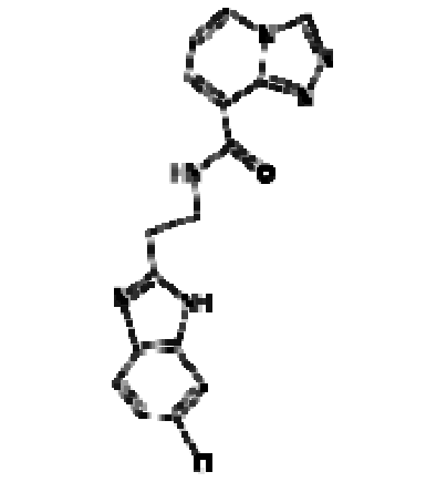 O=C(NCCc1nc2ccc(Cl)cc2[nH]1)c1cccn2cnnc12